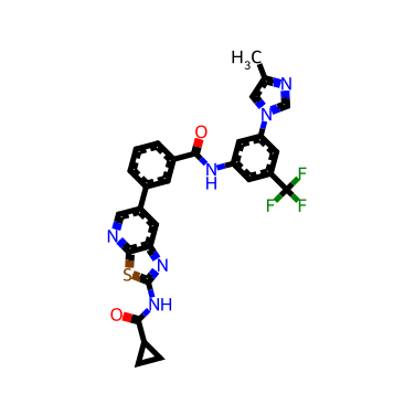 Cc1cn(-c2cc(NC(=O)c3cccc(-c4cnc5sc(NC(=O)C6CC6)nc5c4)c3)cc(C(F)(F)F)c2)cn1